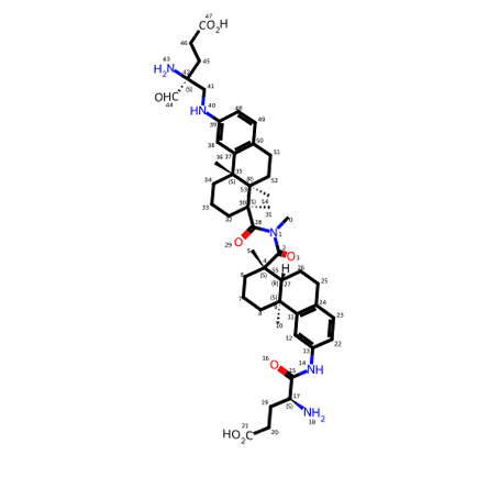 CN(C(=O)[C@@]1(C)CCC[C@]2(C)c3cc(NC(=O)[C@@H](N)CCC(=O)O)ccc3CC[C@@H]12)C(=O)[C@@]1(C)CCC[C@]2(C)c3cc(NC[C@](N)(C=O)CCC(=O)O)ccc3CC[C@@]12C